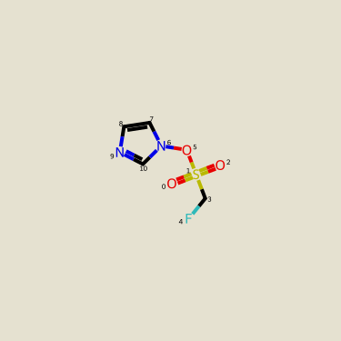 O=S(=O)(CF)On1ccnc1